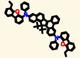 CCc1cccc2c1oc1c(N(c3ccccc3)c3ccc4c5c(ccc4c3)-c3c(c4ccc(N(c6ccccc6)c6cccc7c6oc6c(CC)cccc67)cc4c4ccccc34)C5(C(C)(C)C)C(C)(C)C)cccc12